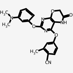 Cc1cc(Oc2nc(Oc3cccc(N(C)C)c3)nc3c2NC(=O)CO3)ccc1C#N